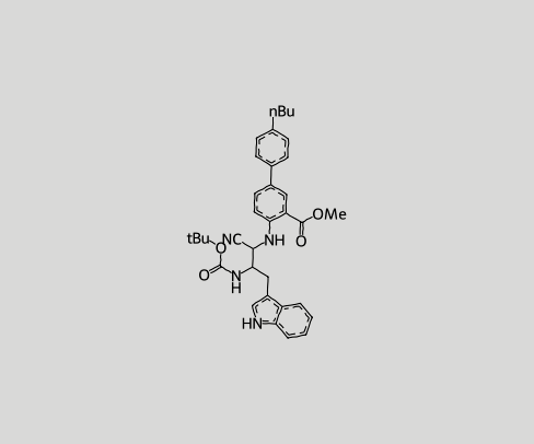 CCCCc1ccc(-c2ccc(NC(C#N)C(Cc3c[nH]c4ccccc34)NC(=O)OC(C)(C)C)c(C(=O)OC)c2)cc1